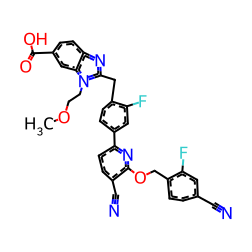 COCCn1c(Cc2ccc(-c3ccc(C#N)c(OCc4ccc(C#N)cc4F)n3)cc2F)nc2ccc(C(=O)O)cc21